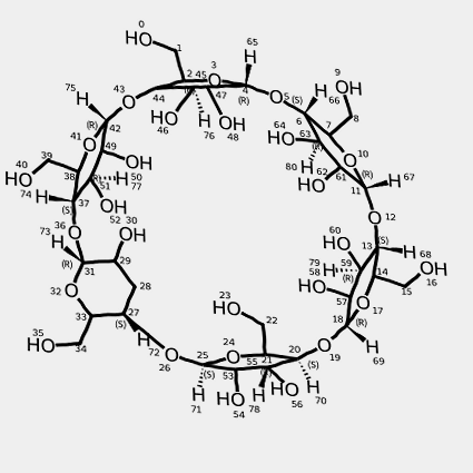 OCC1O[C@@H]2O[C@@H]3C(CO)O[C@H](O[C@@H]4C(CO)O[C@H](O[C@@H]5C(CO)O[C@H](O[C@H]6CC(O)[C@H](OC6CO)O[C@@H]6C(CO)O[C@H](OC1[C@H](O)C2O)C(O)[C@H]6O)C(O)[C@H]5O)C(O)[C@H]4O)C(O)[C@H]3O